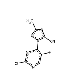 Cc1cn(-c2nc(Cl)ncc2F)c(C#N)n1